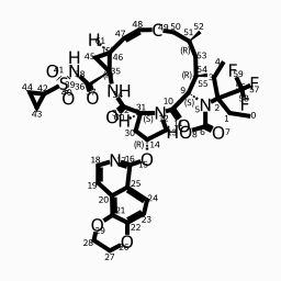 CCC(CC)(N(C(=O)O)[C@@H]1C(=O)N2C[C@H](Oc3nccc4c5c(ccc34)OCCO5)C[C@H]2C(=O)N[C@]2(C(=O)NS(=O)(=O)C3CC3)C[C@H]2C=CCC[C@@H](C)C[C@H]1C)C(F)(F)F